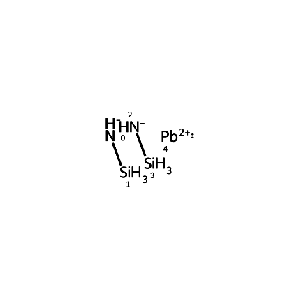 [NH-][SiH3].[NH-][SiH3].[Pb+2]